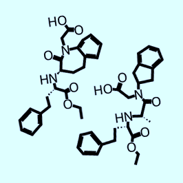 CCOC(=O)[C@H](CCc1ccccc1)N[C@@H](C)C(=O)N(CC(=O)O)C1Cc2ccccc2C1.CCOC(=O)[C@H](CCc1ccccc1)N[C@H]1CCc2ccccc2N(CC(=O)O)C1=O